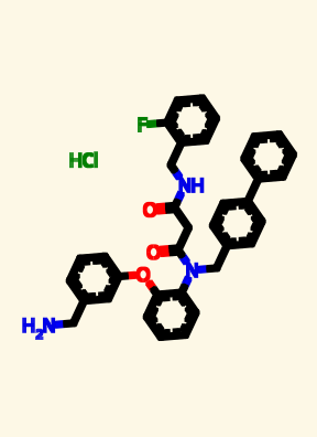 Cl.NCc1cccc(Oc2ccccc2N(Cc2ccc(-c3ccccc3)cc2)C(=O)CC(=O)NCc2ccccc2F)c1